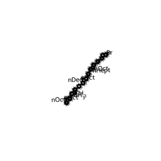 CCCCCCCCCCC1(CCCCCCCC)c2cc(-c3ccc(-c4ccc5c(c4)C(C)(C)c4cc(-c6ccc7c(c6)C(CCCCCCCC)(CCCCCCCC)c6ccccc6-7)ccc4-5)cc3)ccc2-c2ccc(-c3ccc(-c4ccc5c(c4)C(CCCCCCC)(CCCCCCCC)c4cc(-c6ccc(-c7ccc8c(c7)CCc7cc(Br)ccc7-8)cc6)ccc4-5)cc3)cc21